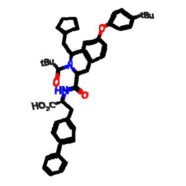 CC(C)(C)C(=O)N1C(C(=O)N[C@@H](Cc2ccc(-c3ccccc3)cc2)C(=O)O)Cc2ccc(Oc3ccc(C(C)(C)C)cc3)cc2C1CC1CCCC1